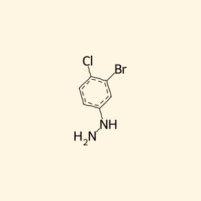 NNc1ccc(Cl)c(Br)c1